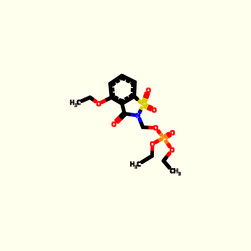 CCOc1cccc2c1C(=O)N(COP(=O)(OCC)OCC)S2(=O)=O